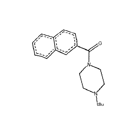 CC(C)(C)N1CCN(C(=O)c2ccc3ccccc3c2)CC1